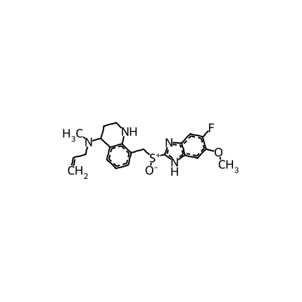 C=CCN(C)C1CCNc2c(C[S+]([O-])c3nc4cc(F)c(OC)cc4[nH]3)cccc21